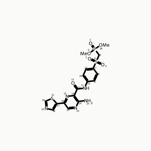 COP(=O)(CS(=O)(=O)c1ccc(NC(=O)c2nc(-c3cncs3)cnc2N)cc1)OC